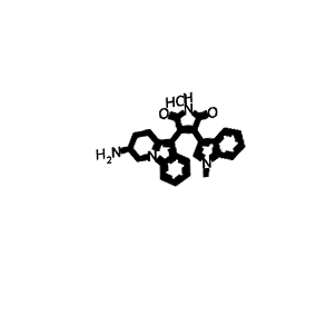 Cl.Cn1cc(C2=C(c3c4n(c5ccccc35)CC(N)CC4)C(=O)NC2=O)c2ccccc21